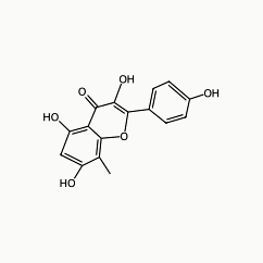 Cc1c(O)cc(O)c2c(=O)c(O)c(-c3ccc(O)cc3)oc12